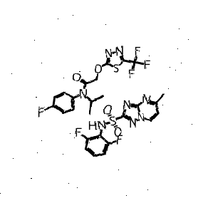 CC(C)N(C(=O)COc1nnc(C(F)(F)F)s1)c1ccc(F)cc1.Cc1ccn2nc(S(=O)(=O)Nc3c(F)cccc3F)nc2n1